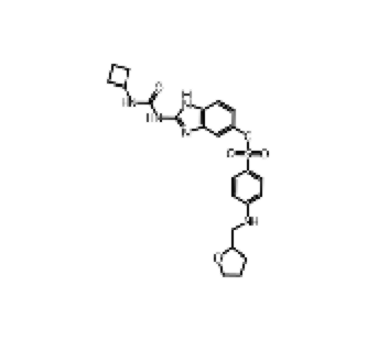 O=C(Nc1nc2cc(OS(=O)(=O)c3ccc(NCC4CCCO4)cc3)ccc2[nH]1)NC1CCC1